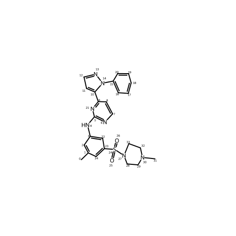 Cc1cc(Nc2nccc(-c3ccnn3-c3ccccc3)n2)cc(S(=O)(=O)N2CCN(C)CC2)c1